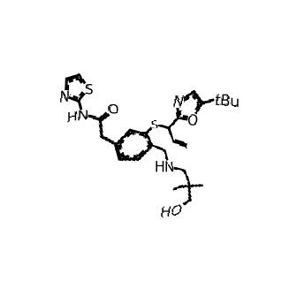 C=CC(Sc1cc(CC(=O)Nc2nccs2)ccc1CNCC(C)(C)CO)c1ncc(C(C)(C)C)o1